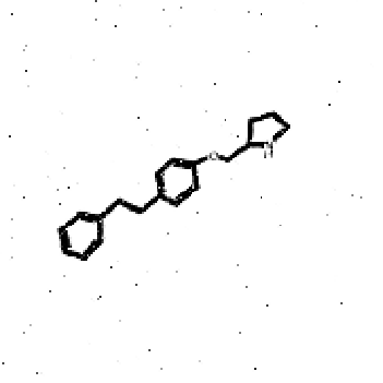 c1ccc(CCc2ccc(OCC3CCCN3)cc2)cc1